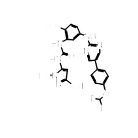 Cc1cc(NC(=O)Nc2cc(Nc3ncc(-c4ccc(OC(F)F)cc4)cn3)ccc2C)n(C)n1